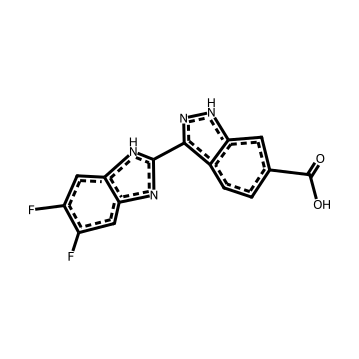 O=C(O)c1ccc2c(-c3nc4cc(F)c(F)cc4[nH]3)n[nH]c2c1